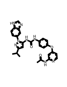 CC(=O)Nc1cc(Oc2ccc(NC(=O)Nc3cc(C(C)C)nn3-c3ccc4[nH]cnc4c3)cc2)ccn1